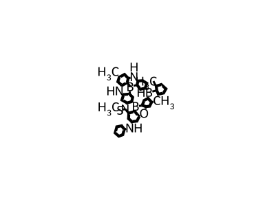 CSN1c2cc3c(cc2B2c4cc(Bc5ccccc5C)c(C)cc4Oc4cc(Nc5ccccc5)cc1c42)B1c2ccccc2Nc2cc(C)cc(c21)N3